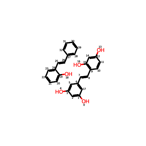 Oc1cc(O)cc(/C=C/c2ccc(O)cc2O)c1.Oc1ccccc1/C=C/c1ccccc1